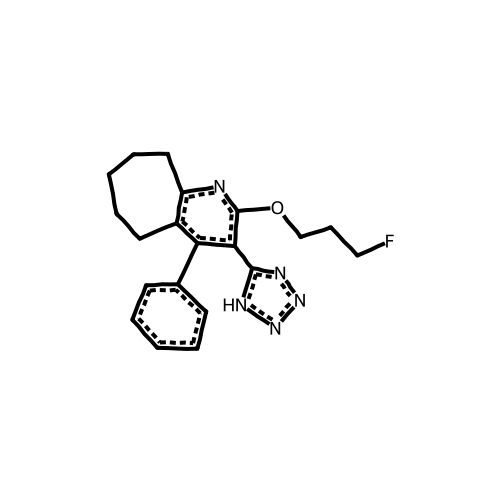 FCCCOc1nc2c(c(-c3ccccc3)c1-c1nnn[nH]1)CCCCC2